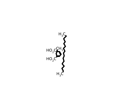 CC1(C(=O)O)C=CC=C(C(=O)O)C1.CCCCCCCCCCCCCCCCC